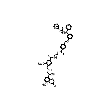 COc1cc(C(=O)NCCOC(=O)c2ccc(COc3cccc([C@@H](NC(=O)OC4CN5CCC4CC5)c4ccccc4)c3)cc2)ccc1CNCC(O)c1ccc(O)c2[nH]c(=O)ccc12